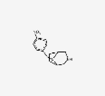 O=[N+]([O-])c1ccc(CN2C3CCC2CNC3)cc1